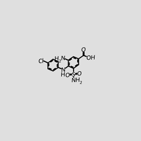 Nc1cc(C(=O)O)cc(S(N)(=O)=O)c1Nc1ccc(Cl)cc1